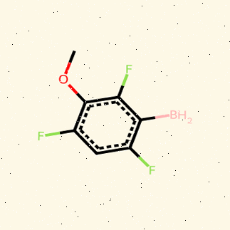 Bc1c(F)cc(F)c(OC)c1F